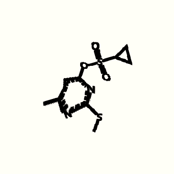 CSc1nc(C)cc(OS(=O)(=O)C2CC2)n1